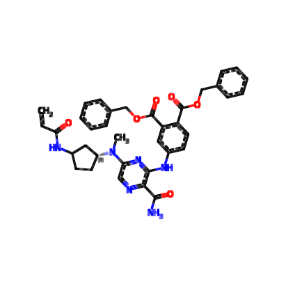 C=CC(=O)NC1CC[C@@H](N(C)c2cnc(C(N)=O)c(Nc3ccc(C(=O)OCc4ccccc4)c(C(=O)OCc4ccccc4)c3)n2)C1